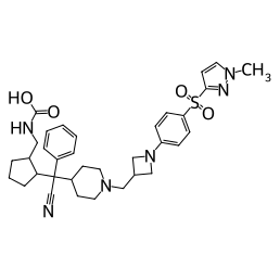 Cn1ccc(S(=O)(=O)c2ccc(N3CC(CN4CCC(C(C#N)(c5ccccc5)C5CCCC5CNC(=O)O)CC4)C3)cc2)n1